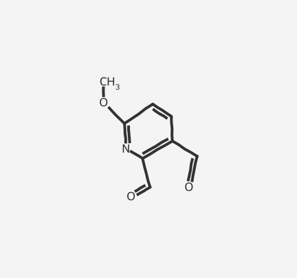 COc1ccc(C=O)c(C=O)n1